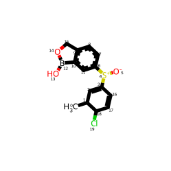 CC1C=C([S+]([O-])c2ccc3c(c2)B(O)OC3)C=CC1Cl